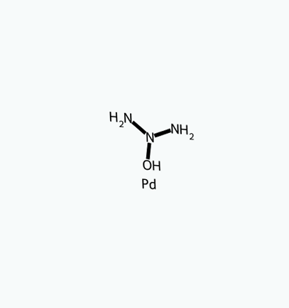 NN(N)O.[Pd]